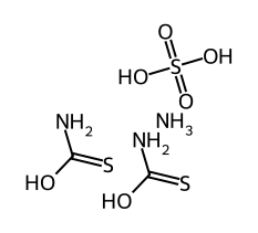 N.NC(O)=S.NC(O)=S.O=S(=O)(O)O